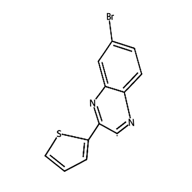 Brc1ccc2n[c]c(-c3cccs3)nc2c1